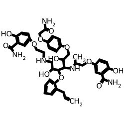 C=CCc1ccccc1OC(C(O)CNCCOc1ccc(O)c(C(N)=O)c1)C(NC(C)COc1ccc(O)c(C(N)=O)c1)C(O)COc1ccc(OCC(N)=O)cc1